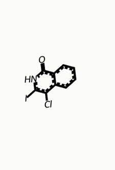 O=c1[nH]c(I)c(Cl)c2ccccc12